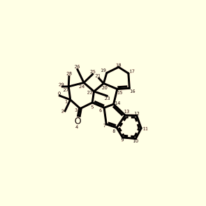 CC1(C)C(=O)C2=C3C=c4ccccc4=C3C3=CCCCC3(C)C2(C)C(C)(C)C1(C)C